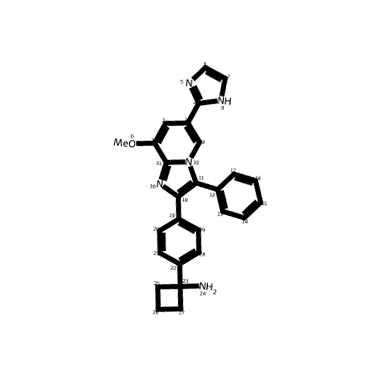 COc1cc(-c2ncc[nH]2)cn2c(-c3ccccc3)c(-c3ccc(C4(N)CCC4)cc3)nc12